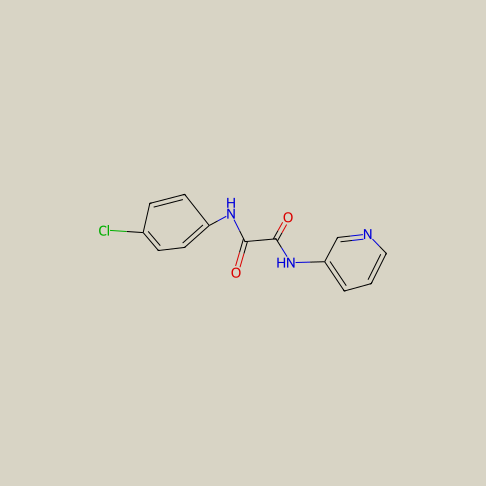 O=C(Nc1ccc(Cl)cc1)C(=O)Nc1cccnc1